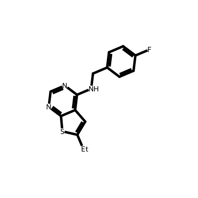 CCc1cc2c(NCc3ccc(F)cc3)ncnc2s1